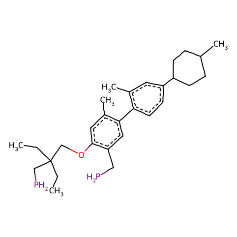 CCC(CC)(CP)COc1cc(C)c(-c2ccc(C3CCC(C)CC3)cc2C)cc1CP